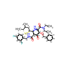 CCC(C)CC(S)c1[nH]c(C(=O)N(CC)CC)c(OCc2ccccc2)c(=O)c1C(=O)NCc1ccc(F)cc1F